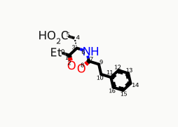 CCC(=O)[C@H](CC(=O)O)NC(=O)CCc1ccccc1